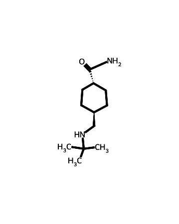 CC(C)(C)NC[C@H]1CC[C@H](C(N)=O)CC1